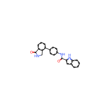 O=C(Nc1ccc(-c2cccc3c2CNC3=O)cc1)c1cc2ccccc2[nH]1